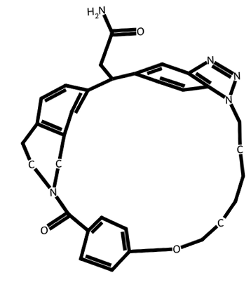 NC(=O)CC1c2ccc3c(c2)CN(CC3)C(=O)c2ccc(cc2)OCCCCCCn2nnc3cc1ccc32